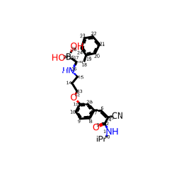 CC(C)NC(=O)C(C#N)=Cc1cccc(OCCCN[C@@H](Cc2ccccc2)B(O)O)c1